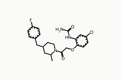 CC1CC(Cc2ccc(F)cc2)CCN1C(=O)COc1ccc(Cl)cc1NC(N)=O